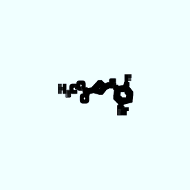 COC(=O)C1CC(Sc2cc(Br)ccc2F)C1